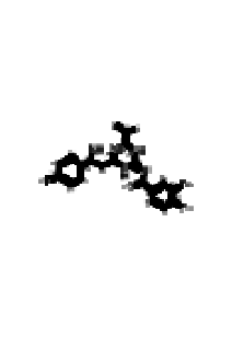 CC(C)CN/C(=N/C(=O)c1ccc(F)c(F)c1)NC(N)CC(N)c1ccc(F)cc1